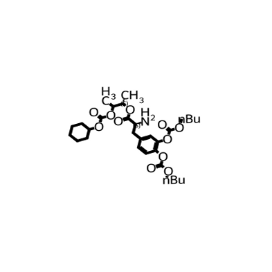 CCCCOC(=O)Oc1ccc(C[C@H](N)C(=O)O[C@@H](C)C(C)OC(=O)OC2CCCCC2)cc1OC(=O)OCCCC